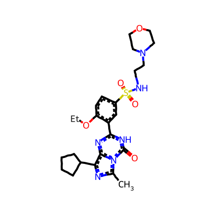 CCOc1ccc(S(=O)(=O)NCCN2CCOCC2)cc1-c1nc2c(C3CCCC3)nc(C)n2c(=O)[nH]1